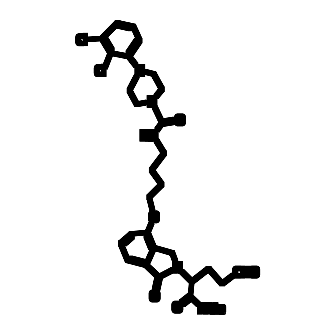 CNC(=O)C(CCC=O)N1Cc2c(OCCCCNC(=O)N3CCN(c4cccc(Cl)c4Cl)CC3)cccc2C1=O